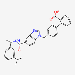 CC(C)c1cccc(C(C)NC(=O)c2ccc3c(c2)ncn3Cc2ccc(-c3ccccc3C(=O)O)cc2)c1